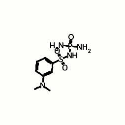 CN(C)c1cccc(S(=O)(=O)NP(N)(N)=O)c1